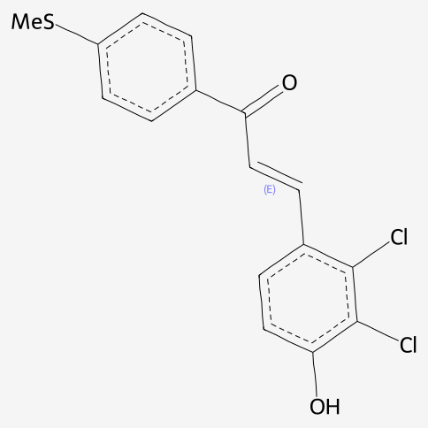 CSc1ccc(C(=O)/C=C/c2ccc(O)c(Cl)c2Cl)cc1